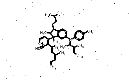 C#CC(/C(C)=C/C(C)=C\C=C)=C(\C=C/C)C1(C)c2cc(N(c3ccc(C)cc3)C(C)/C(C)=C/C)ccc2C(CCC(C)C)C1C